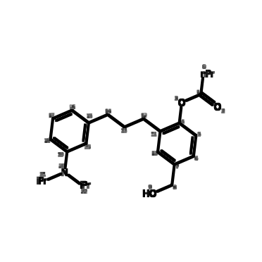 CCCC(=O)Oc1ccc(CO)cc1CCCc1cccc(N(C(C)C)C(C)C)c1